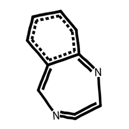 C1=CN=c2ccccc2=CN=1